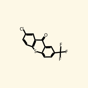 O=c1c2cc(Cl)ccc2sc2ccc(C(F)(F)F)cc12